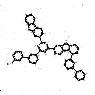 Cc1cccc(-c2cccc(-c3nc(-c4ccc5c(c4)oc4cccc(-c6cccc(-c7ccccc7)c6)c45)nc(-c4ccc5c(c4)sc4ccccc45)n3)c2)c1